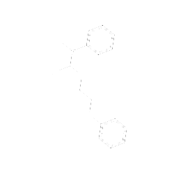 CCN(c1ccccc1)C(C)OCCOc1ccccc1